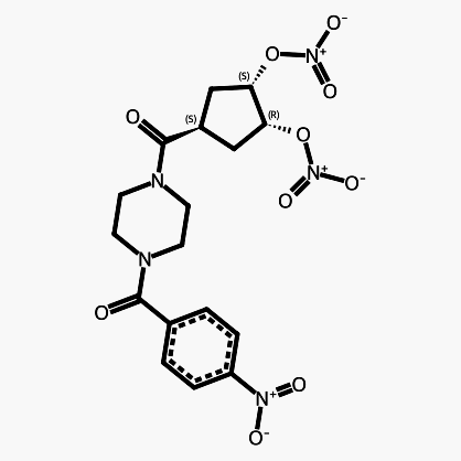 O=C(c1ccc([N+](=O)[O-])cc1)N1CCN(C(=O)[C@H]2C[C@H](O[N+](=O)[O-])[C@H](O[N+](=O)[O-])C2)CC1